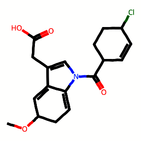 COC1C=c2c(CC(=O)O)cn(C(=O)C3C=CC(Cl)CC3)c2=CC1